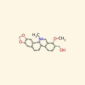 COc1c(CO)ccc2c1c[n+](C)c1c3cc4c(cc3ccc21)OCO4